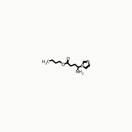 CCCCOC(=O)CCC(N)n1ccnc1